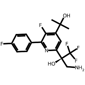 CC(C)(O)c1cc([C@@](O)(CN)C(F)(F)F)nc(-c2ccc(F)cc2)c1F